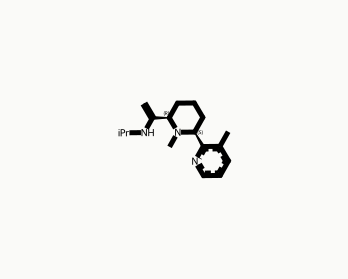 C=C(NC(C)C)[C@H]1CCC[C@@H](c2ncccc2C)N1C